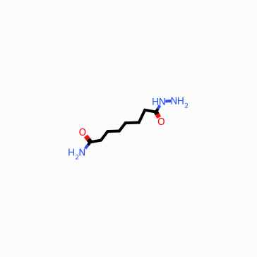 NNC(=O)CCCCCCC(N)=O